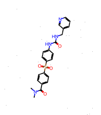 CN(C)C(=O)c1ccc(S(=O)(=O)c2ccc(NC(=O)NCc3cccnc3)cc2)cc1